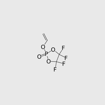 C=COP1(=O)OC(F)(F)C(F)(F)O1